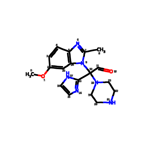 COc1ccc2nc(C)n(C(C=O)(c3ncc[nH]3)N3CCNCC3)c2c1